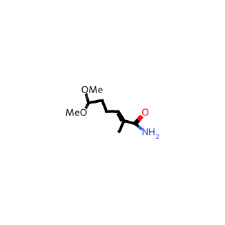 COC(CC/C=C(\C)C(N)=O)OC